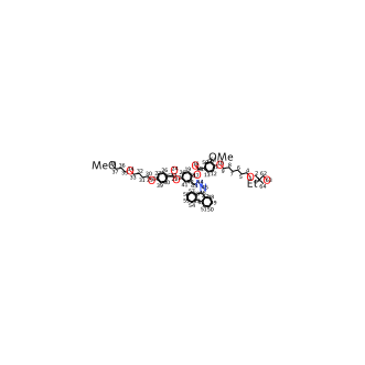 CCC1(COCCCCCCOc2ccc(C(=O)Oc3ccc(OC(=O)c4ccc(OCCCCOCCCOC)cc4)cc3/C=N/N=C3c4ccccc4-c4ccccc43)cc2OC)COC1